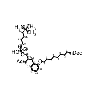 CCCCCCCCCCCCCCCCCCOc1ccccc1CC(COP(=O)(O)OCCCC[N+](C)(C)C)CC(C)=O